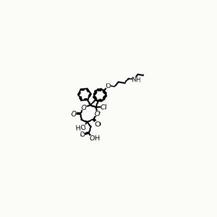 CCNCCCCOc1ccc(C2(c3ccccc3)OC(=O)CC(O)(CC(=O)O)C(=O)OC2(Cl)c2ccccc2)cc1